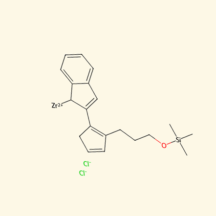 C[Si](C)(C)OCCCC1=C(C2=Cc3ccccc3[CH]2[Zr+2])CC=C1.[Cl-].[Cl-]